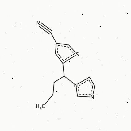 CCCC(c1cc(C#N)cs1)n1ccnc1